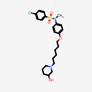 CN(c1ccc(OCCCCCCN2CCCC(O)C2)cc1)S(=O)(=O)c1ccc(Cl)cc1